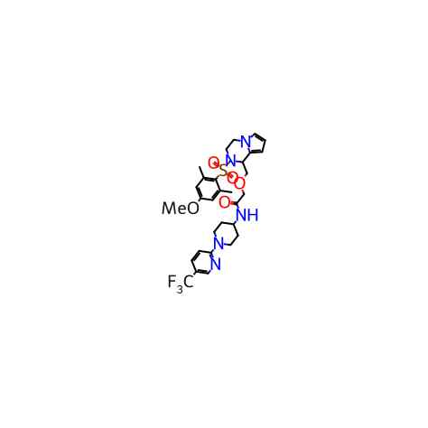 COc1cc(C)c(S(=O)(=O)N2CCn3cccc3C2COCC(=O)NC2CCN(c3ccc(C(F)(F)F)cn3)CC2)c(C)c1